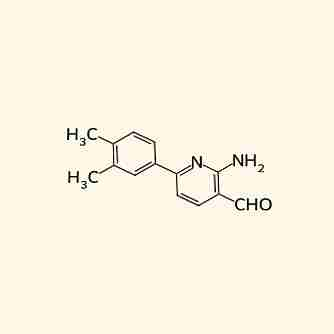 Cc1ccc(-c2ccc(C=O)c(N)n2)cc1C